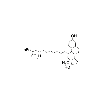 CCCCC(CCCCCCCCC[C@H]1C[C@@]2(C)C(CC[C@@H]2O)C2CCc3cc(O)ccc3C21)C(=O)O